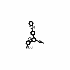 CCCCc1ccc2oc3c(-c4ccc(-c5nc6ccccc6o5)cc4)cc(C4C5C(C)C45)cc3c2c1